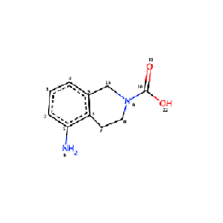 Nc1cccc2c1CCN(C(=O)O)C2